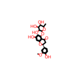 COc1cc([C@@H]2CC(=O)c3c(O[C@@H]4OC(C)[C@H](O)C(O)C4O)cc(O)cc3O2)ccc1O